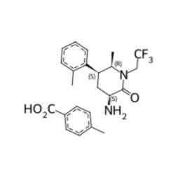 Cc1ccc(C(=O)O)cc1.Cc1ccccc1[C@@H]1C[C@H](N)C(=O)N(CC(F)(F)F)[C@@H]1C